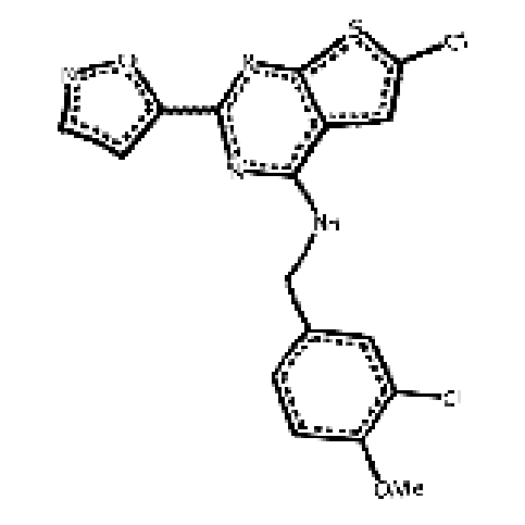 COc1ccc(CNc2nc(-c3ccno3)nc3sc(Cl)cc23)cc1Cl